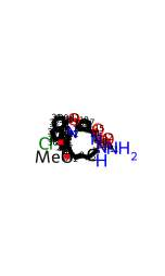 CO[C@H]1/C=C/CCCS(=O)(NC(N)=O)=NC(=O)c2ccc3c(c2)N(C[C@@H]2CC[C@H]21)C[C@@]1(CCCc2cc(Cl)ccc21)CO3